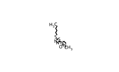 CCCCCCSc1nnc(N2CCN(C)C2=O)s1